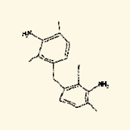 Cc1ccc(Cc2ccc(C)c(N)c2C)c(C)c1N